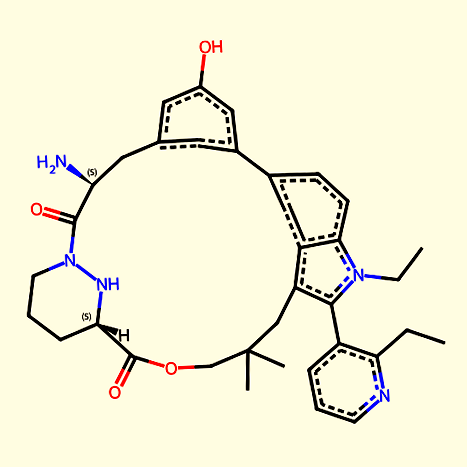 CCc1ncccc1-c1c2c3cc(ccc3n1CC)-c1cc(O)cc(c1)C[C@H](N)C(=O)N1CCC[C@H](N1)C(=O)OCC(C)(C)C2